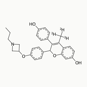 [2H]C([2H])([2H])C1=C(c2ccc(O)cc2)C(c2ccc(OC3CN(CCC)C3)cc2)Oc2cc(O)ccc21